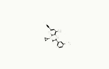 CC#Cc1cc(N)c2nc(-c3cccc(C#N)c3)c(=O)n(C3CC3)c2n1